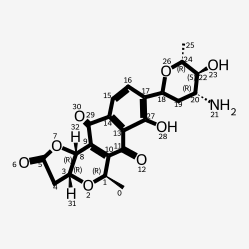 C[C@H]1O[C@@H]2CC(=O)O[C@@H]2C2=C1C(=O)c1c(ccc(C3C[C@@H](N)[C@H](O)[C@@H](C)O3)c1O)C2=O